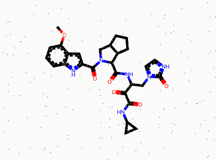 COc1cccc2[nH]c(C(=O)N3CC4CCCC4C3C(=O)NC(Cn3cc[nH]c3=O)C(=O)C(=O)NC3CC3)cc12